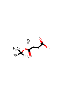 CC(C)(C)OC(=O)CCC(=O)[O-].[Cs+]